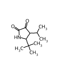 CC(C)C1C(=O)C(=O)NC1C(C)(C)C